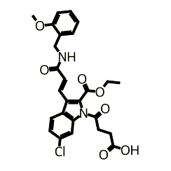 CCOC(=O)c1c(/C=C/C(=O)NCc2ccccc2OC)c2ccc(Cl)cc2n1C(=O)CCC(=O)O